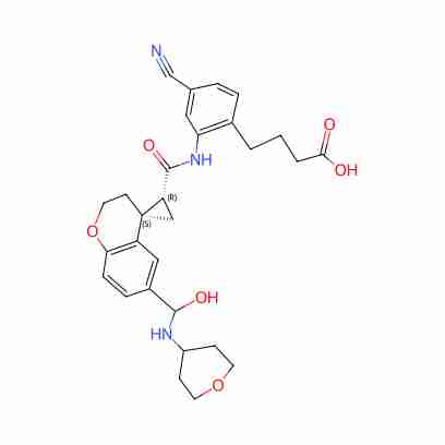 N#Cc1ccc(CCCC(=O)O)c(NC(=O)[C@@H]2C[C@]23CCOc2ccc(C(O)NC4CCOCC4)cc23)c1